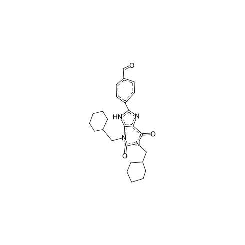 O=Cc1ccc(-c2nc3c(=O)n(CC4CCCCC4)c(=O)n(CC4CCCCC4)c3[nH]2)cc1